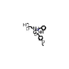 CCOc1ccc(C(=O)N/C(=C\c2ccccc2)C(=O)NCCC(=O)O)cc1